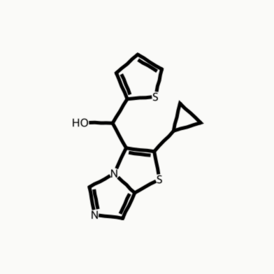 OC(c1cccs1)c1c(C2CC2)sc2cncn12